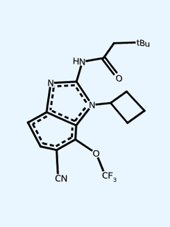 CC(C)(C)CC(=O)Nc1nc2ccc(C#N)c(OC(F)(F)F)c2n1C1CCC1